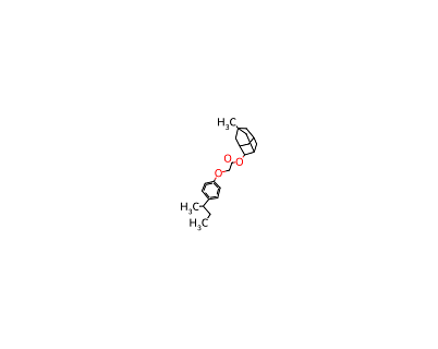 CCC(C)c1ccc(OCC(=O)OC2C3CC4CC2CC(C)(C4)C3)cc1